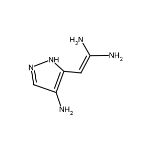 NC(N)=Cc1[nH]ncc1N